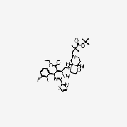 CCOC(=O)C1=C(CN2CCO[C@H]3CCN(CC(C)(C)C(=O)OC(C)(C)C)C[C@H]32)NC(c2nccs2)=NC1c1cccc(F)c1C